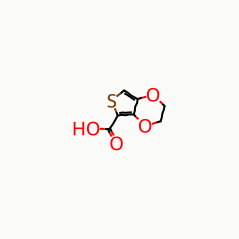 O=C(O)c1scc2c1OCCO2